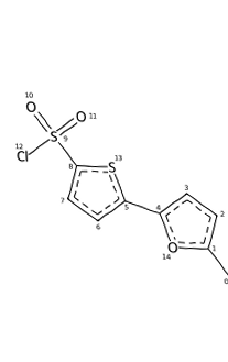 Cc1ccc(-c2ccc(S(=O)(=O)Cl)s2)o1